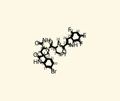 CC(C)C[C@@H](C(=O)N1C[C@]2(C[C@H]1C(N)=O)C(=O)Nc1cc(Br)ccc12)N(C)C(=O)c1cc2c(F)cc(F)c(F)c2[nH]1